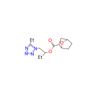 CCc1nnnn1CC(CC)OC(=O)C1CC2CCC1O2